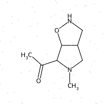 CC(=O)C1C2ONCC2CN1C